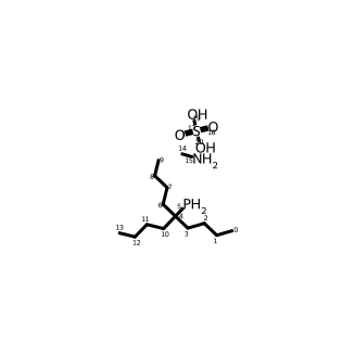 CCCCC(P)(CCCC)CCCC.CN.O=S(=O)(O)O